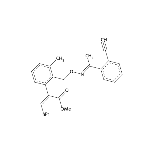 C#Cc1ccccc1/C(C)=N/OCc1c(C)cccc1/C(=C/CCC)C(=O)OC